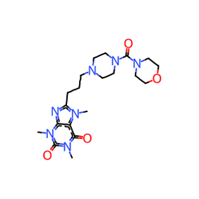 Cn1c(=O)c2c(nc(CCCN3CCN(C(=O)N4CCOCC4)CC3)n2C)n(C)c1=O